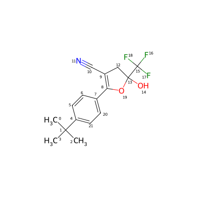 CC(C)(C)c1ccc(C2=C(C#N)CC(O)(C(F)(F)F)O2)cc1